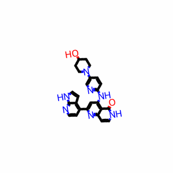 O=c1[nH]ccc2nc(-c3ccnc4[nH]ccc34)cc(Nc3ccc(N4CCC(O)CC4)cn3)c12